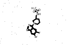 CS(=O)(=O)NCC1CCCN(c2ncnc3cc(Br)c(F)cc23)C1